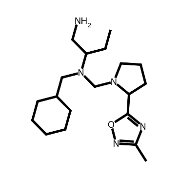 CCC(CN)N(CC1CCCCC1)CN1CCCC1c1nc(C)no1